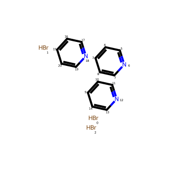 Br.Br.Br.c1ccncc1.c1ccncc1.c1ccncc1